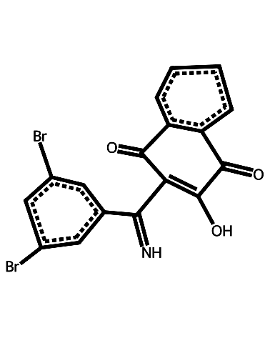 N=C(C1=C(O)C(=O)c2ccccc2C1=O)c1cc(Br)cc(Br)c1